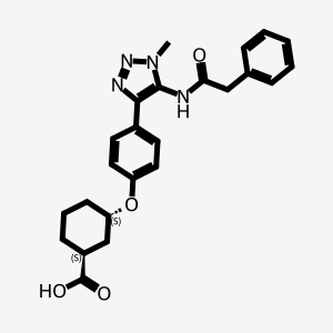 Cn1nnc(-c2ccc(O[C@H]3CCC[C@H](C(=O)O)C3)cc2)c1NC(=O)Cc1ccccc1